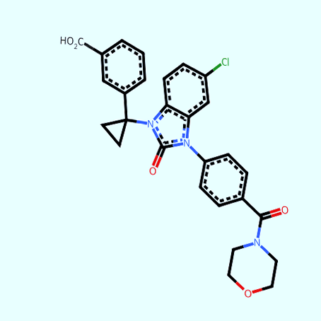 O=C(O)c1cccc(C2(n3c(=O)n(-c4ccc(C(=O)N5CCOCC5)cc4)c4cc(Cl)ccc43)CC2)c1